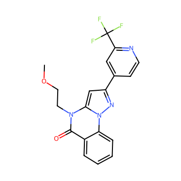 COCCn1c(=O)c2ccccc2n2nc(-c3ccnc(C(F)(F)F)c3)cc12